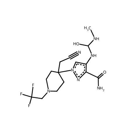 CNC(O)Nc1cn(C2(CC#N)CCN(CC(F)(F)F)CC2)nc1C(N)=O